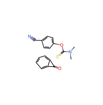 CN(C)C(=S)Oc1ccc(C#N)cc1.O=c1c2ccccc12